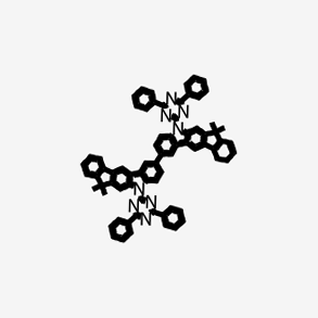 CC1(C)C2=C(CCC=C2)c2cc3c4cc(-c5ccc6c(c5)c5cc7c(cc5n6-c5nc(-c6ccccc6)nc(-c6ccccc6)n5)C(C)(C)c5ccccc5-7)ccc4n(-c4nc(-c5ccccc5)nc(-c5ccccc5)n4)c3cc21